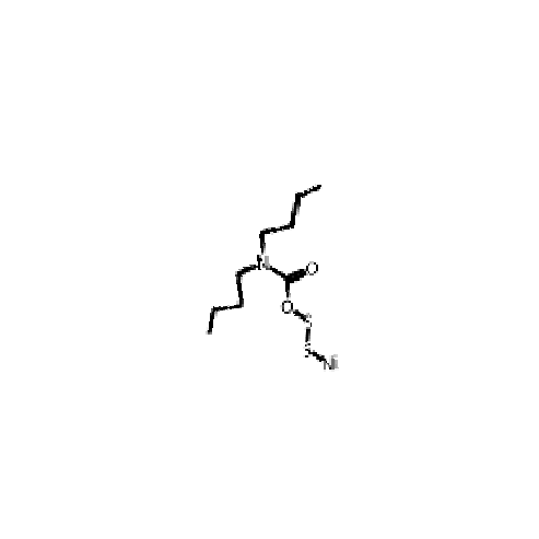 CCCCN(CCCC)C(=O)OS[S][Ni]